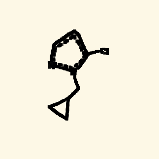 Clc1ccnn1CC1CC1